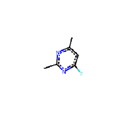 Cc1cc(F)nc(C)n1